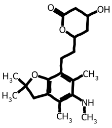 CNc1c(C)c(CCC2CC(O)CC(=O)O2)c2c(c1C)CC(C)(C)O2